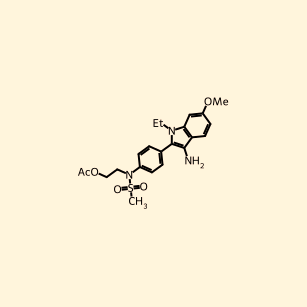 CCn1c(-c2ccc(N(CCOC(C)=O)S(C)(=O)=O)cc2)c(N)c2ccc(OC)cc21